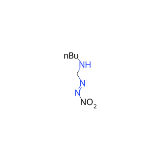 C[CH]CCNCN=N[N+](=O)[O-]